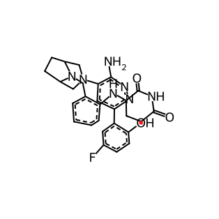 Nc1nnc(-c2cc(F)ccc2O)cc1N1CC2CCC(C1)N2Cc1ccccc1NC1CCC(=O)NC1=O